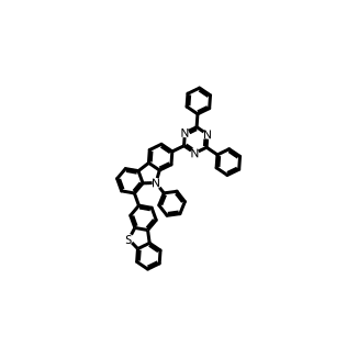 c1ccc(-c2nc(-c3ccccc3)nc(-c3ccc4c5cccc(-c6ccc7c(c6)sc6ccccc67)c5n(-c5ccccc5)c4c3)n2)cc1